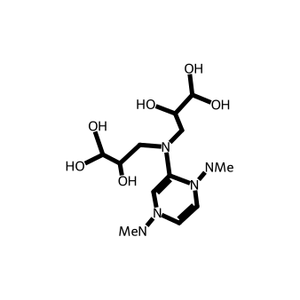 CNN1C=CN(NC)C(N(CC(O)C(O)O)CC(O)C(O)O)=C1